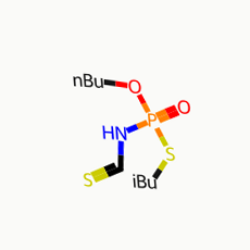 CCCCOP(=O)(NC=S)SC(C)CC